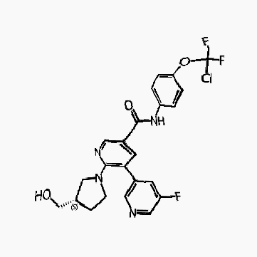 O=C(Nc1ccc(OC(F)(F)Cl)cc1)c1cnc(N2CC[C@H](CO)C2)c(-c2cncc(F)c2)c1